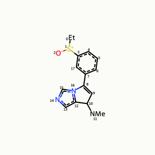 CC[S+]([O-])c1cccc(C2=CC(NC)c3cncn32)c1